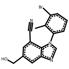 Cc1c(Br)cccc1-n1cnc2cc(CO)cc(C#N)c21